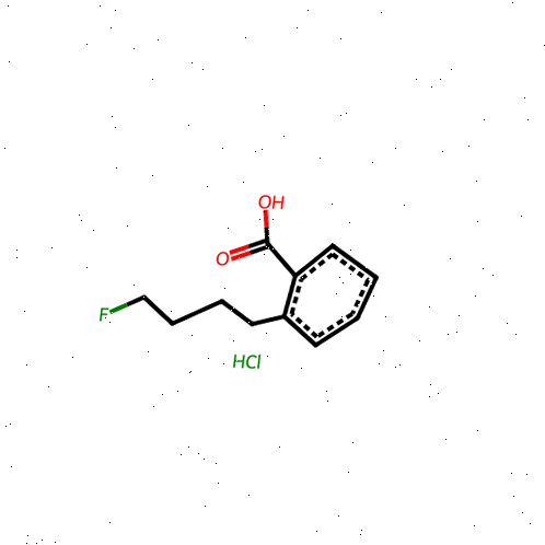 Cl.O=C(O)c1ccccc1CCCCF